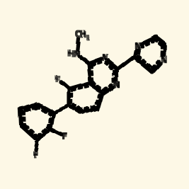 CNc1nc(-c2cnccn2)nc2ccc(-c3cccc(F)c3F)c(F)c12